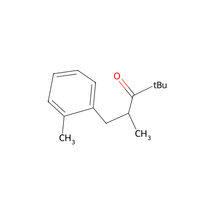 Cc1ccccc1CC(C)C(=O)C(C)(C)C